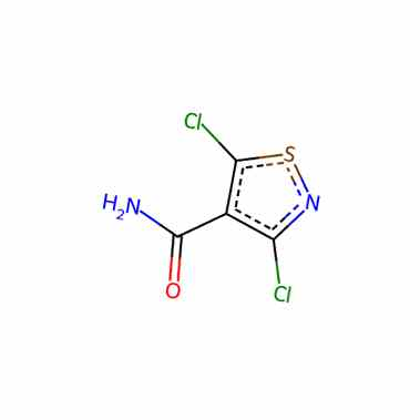 NC(=O)c1c(Cl)nsc1Cl